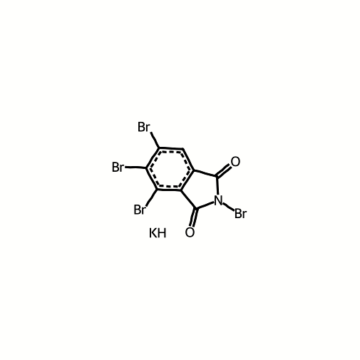 O=C1c2cc(Br)c(Br)c(Br)c2C(=O)N1Br.[KH]